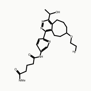 CNC(=O)CCCC(=O)Nc1ccc(-c2nnc(C(C)O)c3c2CCC(OCC[18F])CCC3)nc1